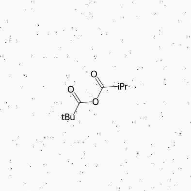 C[C](C)C(=O)OC(=O)C(C)(C)C